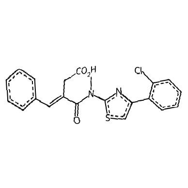 CN(C(=O)/C(=C/c1ccccc1)CC(=O)O)c1nc(-c2ccccc2Cl)cs1